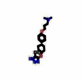 CN(C)CCCOc1ccc([C@H]2CC[C@H](Oc3nn[nH]c3C(=O)O)CC2)cc1